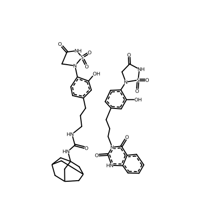 O=C1CN(c2ccc(CCCNC(=O)NC34CC5CC(CC(C5)C3)C4)cc2O)S(=O)(=O)N1.O=C1CN(c2ccc(CCCn3c(=O)[nH]c4ccccc4c3=O)cc2O)S(=O)(=O)N1